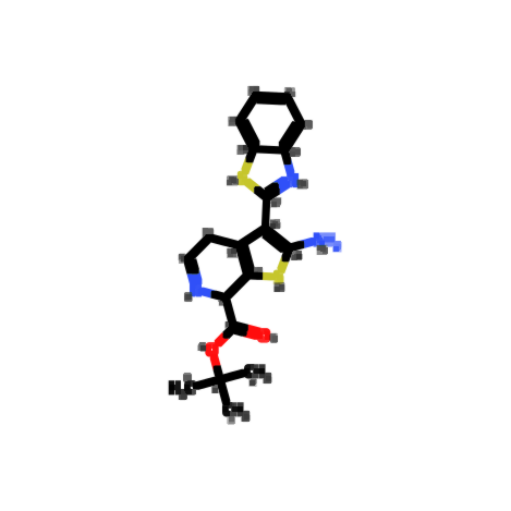 CC(C)(C)OC(=O)C1N=CCc2c1sc(N)c2-c1nc2ccccc2s1